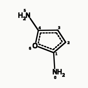 Nc1ccc(N)o1